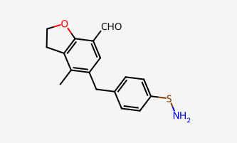 Cc1c(Cc2ccc(SN)cc2)cc(C=O)c2c1CCO2